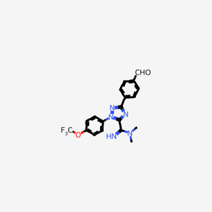 CN(C)C(=N)c1nc(-c2ccc(C=O)cc2)nn1-c1ccc(OC(F)(F)F)cc1